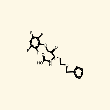 O=C(O)N[C@@H](CCOCc1ccccc1)C(=O)COc1c(F)c(F)cc(F)c1F